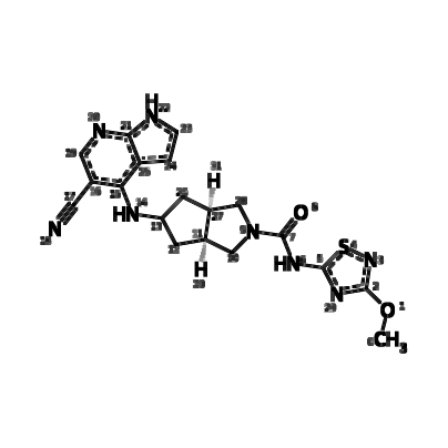 COc1nsc(NC(=O)N2C[C@H]3CC(Nc4c(C#N)cnc5[nH]ccc45)C[C@H]3C2)n1